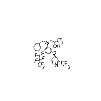 OC(CN(Cc1cccc(C(F)(F)C(F)(F)C(F)(F)F)c1)c1cccc(Oc2ccnc(C(F)(F)F)c2)c1)C(F)(F)F